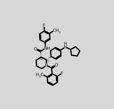 Cc1cc(NC(=O)[C@H]2CCCN(C(=O)c3c(C)cccc3F)[C@H]2C2C=CC(NC3CCCC3)=CC2)ccc1F